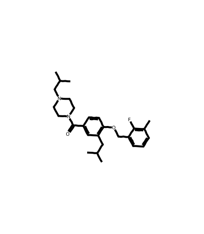 Cc1cccc(COc2ccc(C(=O)N3CCN(CC(C)C)CC3)cc2CC(C)C)c1F